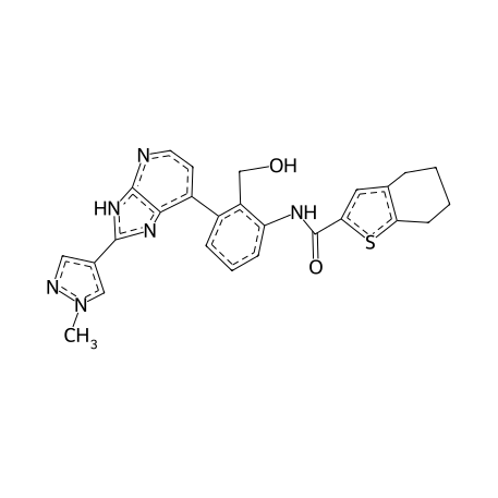 Cn1cc(-c2nc3c(-c4cccc(NC(=O)c5cc6c(s5)CCCC6)c4CO)ccnc3[nH]2)cn1